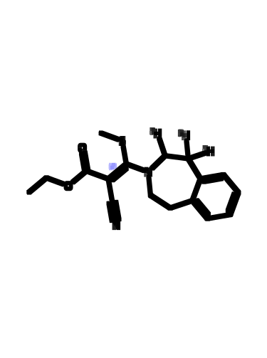 [3H]C1N(/C(SC)=C(\C#N)C(=O)OCC)CCc2ccccc2C1([3H])[3H]